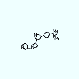 CC(C)n1cnnc1-c1ccc(-c2cncc(-c3ccn(Cc4cccnc4)c3)c2)cc1